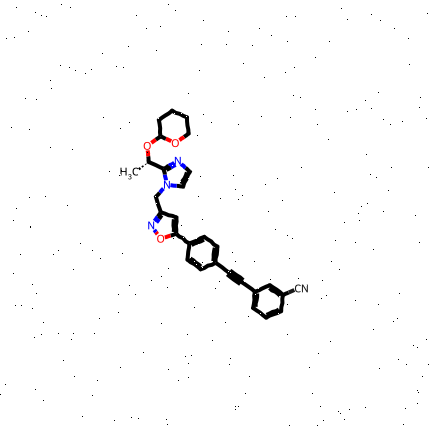 C[C@H](OC1CCCCO1)c1nccn1Cc1cc(-c2ccc(C#Cc3cccc(C#N)c3)cc2)on1